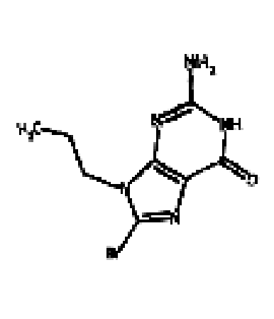 CCCn1c(Br)nc2c(=O)[nH]c(N)nc21